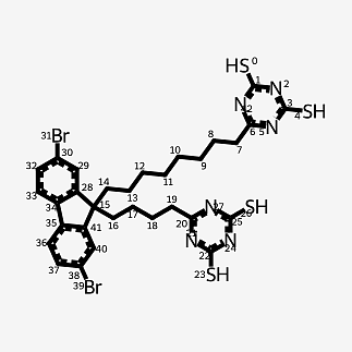 Sc1nc(S)nc(CCCCCCCCC2(CCCCc3nc(S)nc(S)n3)c3cc(Br)ccc3-c3ccc(Br)cc32)n1